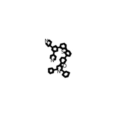 c1ccc(-c2cc3c(oc4cc(-c5cccc6c5sc5c(-c7cc(-c8ccncc8)cc(-c8ccncc8)c7)cccc56)ccc43)c(-c3ccccc3)n2)cc1